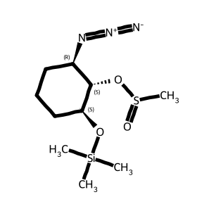 CS(=O)O[C@@H]1[C@@H](O[Si](C)(C)C)CCC[C@H]1N=[N+]=[N-]